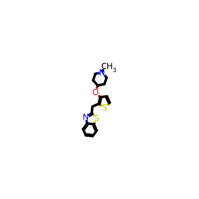 CN1CCC(Oc2ccsc2Cc2nc3ccccc3s2)CC1